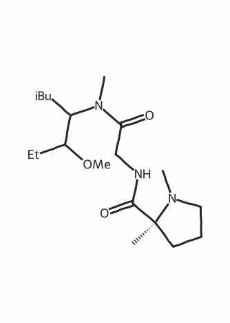 CCC(C)C(C(CC)OC)N(C)C(=O)CNC(=O)[C@]1(C)CCCN1C